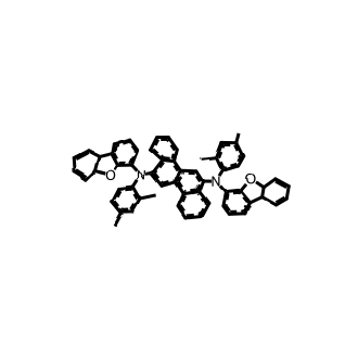 Cc1ccc(N(c2cccc3c2OC2C=CC=CC32)c2cc3c4ccccc4c(N(c4ccc(C)cc4C)c4cccc5c4OC4C=CC=CC54)cc3c3ccccc23)c(C)c1